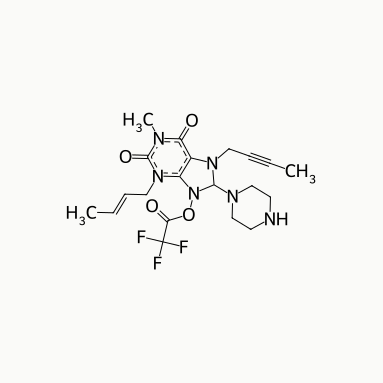 CC#CCN1c2c(n(CC=CC)c(=O)n(C)c2=O)N(OC(=O)C(F)(F)F)C1N1CCNCC1